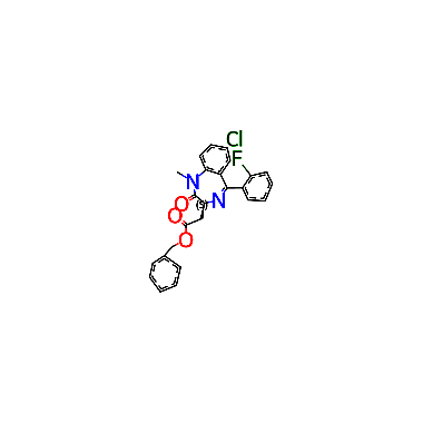 CN1C(=O)[C@H](CC(=O)OCc2ccccc2)N=C(c2ccccc2F)c2cc(Cl)ccc21